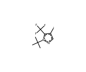 CC(C)(C)n1ncc(I)c1C(F)(F)F